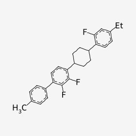 CCc1ccc(C2CCC(c3ccc(-c4ccc(C)cc4)c(F)c3F)CC2)c(F)c1